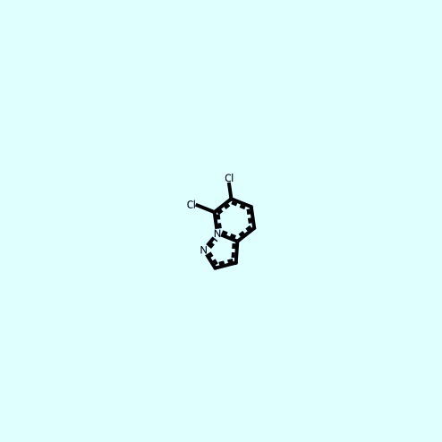 Clc1ccc2ccnn2c1Cl